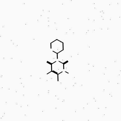 CCOC(=O)n1c(C)c(CC)c(=O)n(C2CCCCO2)c1=O